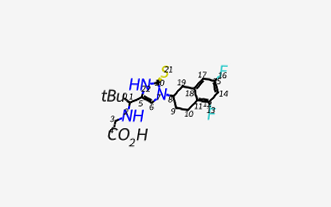 CC(C)(C)C(NCC(=O)O)c1cn(C2CCc3c(F)cc(F)cc3C2)c(=S)[nH]1